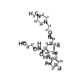 CN1CCN(CCO/N=C/c2cc(C(=O)NOCCO)c(Nc3ccc(I)cc3F)c(F)c2F)CC1